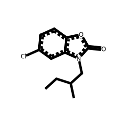 CCC(C)Cn1c(=O)oc2ccc(Cl)cc21